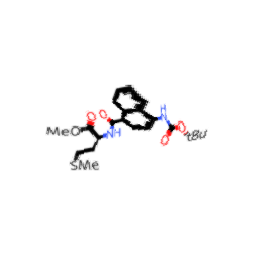 COC(=O)[C@H](CCSC)NC(=O)c1ccc(NC(=O)OC(C)(C)C)c2ccccc12